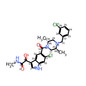 CNC(=O)C(=O)c1c[nH]c2cc(Cl)c(C(=O)N3C[C@H](C)N(Cc4cccc(Cl)c4)C[C@H]3C)cc12